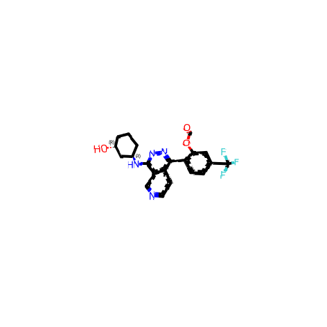 O=COc1cc(C(F)(F)F)ccc1-c1nnc(N[C@@H]2CCC[C@@H](O)C2)c2cnccc12